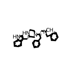 CN(Cc1ccccc1)C[C@H](Cc1ccccc1)N1CCN[C@@H](Cc2c[nH]c3ccccc23)C1